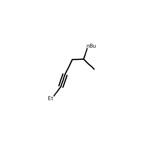 [CH2]CC#CCC(C)CCC[CH2]